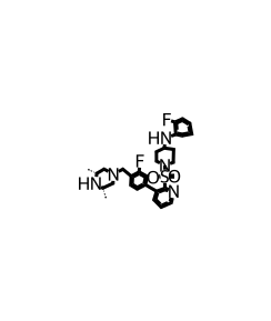 C[C@@H]1CN(Cc2ccc(-c3cccnc3S(=O)(=O)N3CCC(Nc4ccccc4F)CC3)cc2F)C[C@H](C)N1